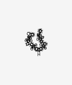 O=C1c2ccc(-c3cccc4c3C(=O)N(c3nnc(-c5ccccc5Cl)o3)C4=O)cc2C(=O)N1c1ccc2[nH]c3ccc(N4C(=O)c5cccc(-c6ccc7c(c6)C(=O)N(c6nnc(-c8ccccc8)o6)C7=O)c5C4=O)cc3c2c1